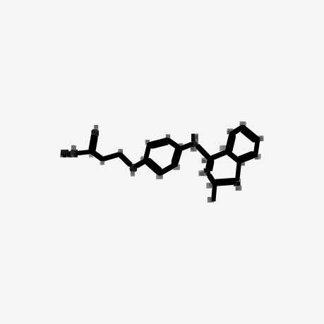 CNC(=O)CCOc1ccc(Nc2nc(C)nc3ccccc23)cc1